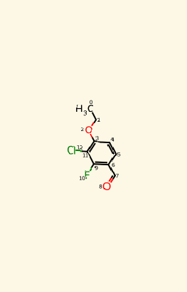 CCOc1ccc(C=O)c(F)c1Cl